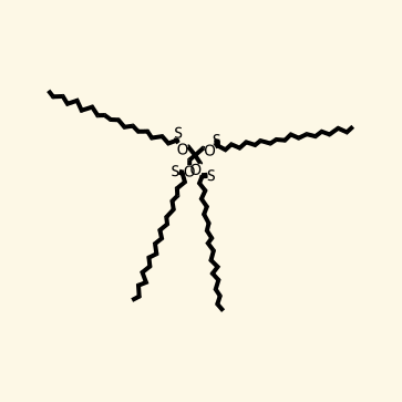 CCCCCCCCCCCCCCCCCCC(=S)OCC(COC(=S)CCCCCCCCCCCCCCCCCC)(COC(=S)CCCCCCCCCCCCCCCCCC)COC(=S)CCCCCCCCCCCCCCCCCC